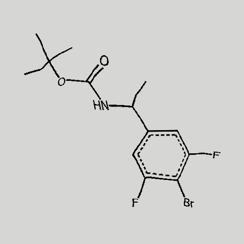 CC(NC(=O)OC(C)(C)C)c1cc(F)c(Br)c(F)c1